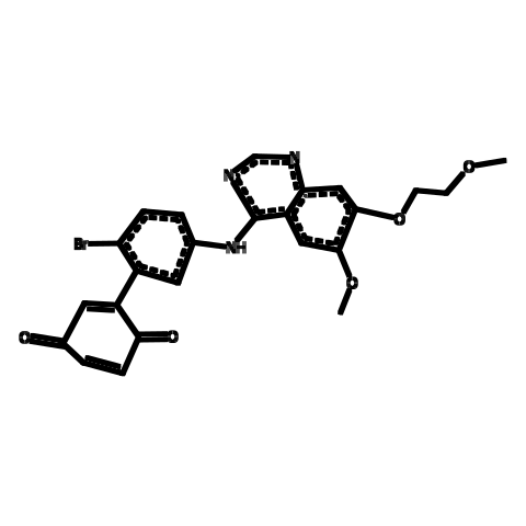 COCCOc1cc2ncnc(Nc3ccc(Br)c(C4=CC(=O)C=CC4=O)c3)c2cc1OC